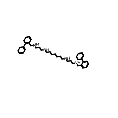 C1=CCCC(C2=C(CNCCCNCCCCCCCNCCCNCc3ccccc3C3=CC=CCC3)C=CCC2)=C1